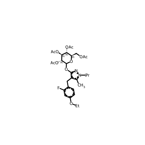 CCOc1ccc(Cc2c(OC3O[C@H](COC(C)=O)[C@@H](OC(C)=O)[C@H](OC(C)=O)[C@H]3OC(C)=O)nn(C(C)C)c2C)c(F)c1